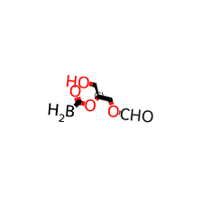 BC(=O)O[C@@H](CO)COC=O